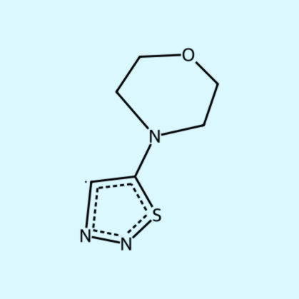 [c]1nnsc1N1CCOCC1